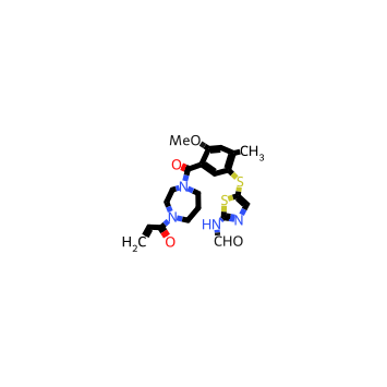 C=CC(=O)N1CCCN(C(=O)c2cc(Sc3cnc(NC=O)s3)c(C)cc2OC)CC1